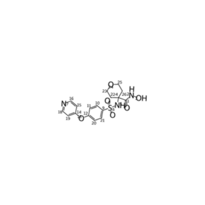 O=C(NO)C1(NS(=O)(=O)c2ccc(Oc3ccncc3)cc2)CCOCC1